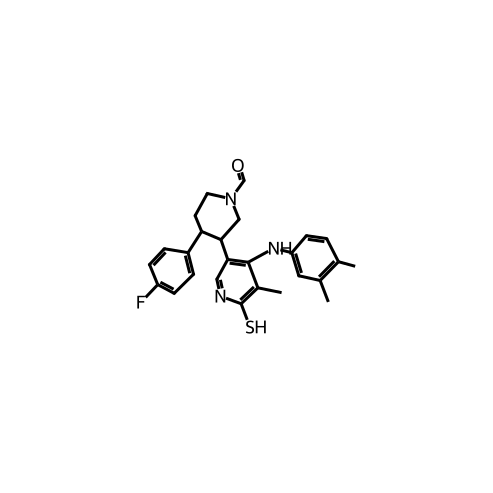 Cc1ccc(Nc2c(C3CN(C=O)CCC3c3ccc(F)cc3)cnc(S)c2C)cc1C